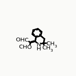 CC1(C)Cc2ccccc2C(=C(C=O)C=O)N1